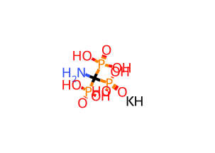 NC(P(=O)(O)O)(P(=O)(O)O)P(=O)(O)O.[KH]